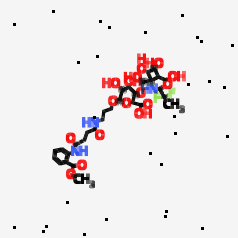 COC(=O)c1ccccc1NC(=O)CCC(=O)NCCCO[C@@H]1OC(C(=O)O)[C@@H](O[C@@H](O)[C@@]2(NC(=O)C(C)(F)F)C(O)[C@H](O)C2CO)C(O)[C@@H]1O